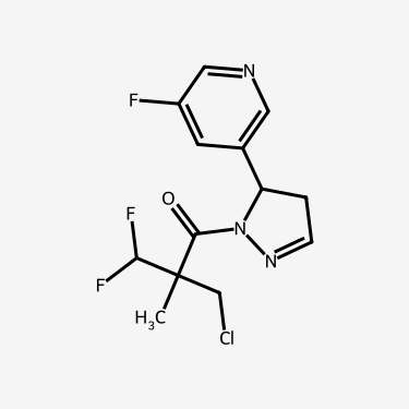 CC(CCl)(C(=O)N1N=CCC1c1cncc(F)c1)C(F)F